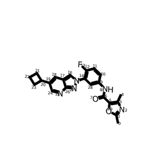 Cc1nc(C)c(C(=O)Nc2ccc(F)c(-n3cc4cc(C5CCC5)cnc4n3)c2)o1